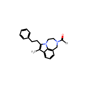 CCC(=O)N1CCn2c(CCc3ccccc3)c(C(F)(F)F)c3cccc(c32)C1